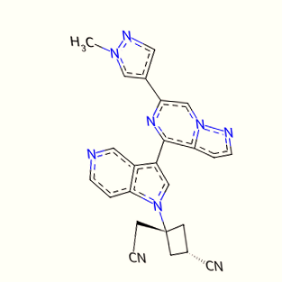 Cn1cc(-c2cn3nccc3c(-c3cn([C@]4(CC#N)C[C@H](C#N)C4)c4ccncc34)n2)cn1